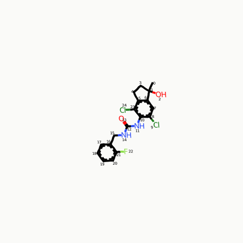 CC1(O)CCc2c1cc(Cl)c(NC(=O)NCc1ccccc1F)c2Cl